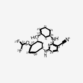 N#Cc1cnc(N[C@H]2CC[C@H](OC(F)F)CC2)nc1N[C@@H]1CCC[C@H](O)C1